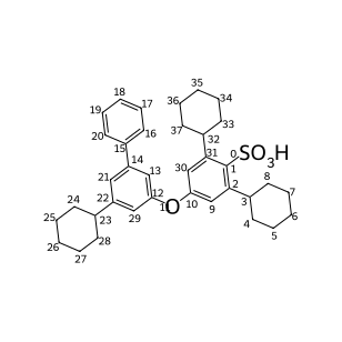 O=S(=O)(O)c1c(C2CCCCC2)cc(Oc2cc(-c3ccccc3)cc(C3CCCCC3)c2)cc1C1CCCCC1